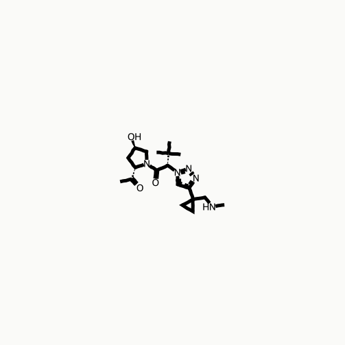 CNCC1(c2cn([C@H](C(=O)N3C[C@H](O)C[C@H]3C(C)=O)C(C)(C)C)nn2)CC1